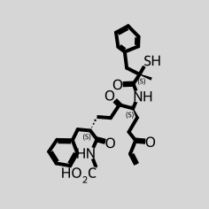 C=CC(=O)CC[C@H](NC(=O)[C@@](C)(S)Cc1ccccc1)C(=O)CC[C@@H](Cc1ccccc1)C(=O)NCC(=O)O